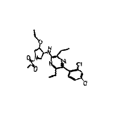 CCO[C@@H]1CN(S(C)(=O)=O)C[C@@H]1Nc1nc(CC)c(-c2ccc(Cl)cc2Cl)nc1CC